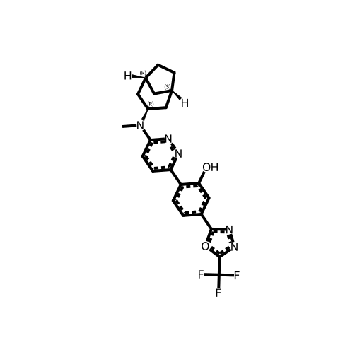 CN(c1ccc(-c2ccc(-c3nnc(C(F)(F)F)o3)cc2O)nn1)[C@H]1C[C@@H]2CC[C@@H](C2)C1